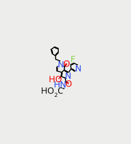 O=C(O)CNC(=O)c1nc(-c2cncc(F)c2)c2c(=O)n(CCc3ccccc3)ccc2c1O